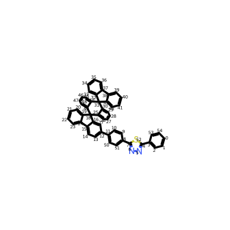 c1ccc(-c2nnc(-c3ccc(-c4ccc5c(c4)C4(c6ccccc6-5)c5ccccc5C5(c6ccccc6-c6ccccc65)c5ccccc54)cc3)s2)cc1